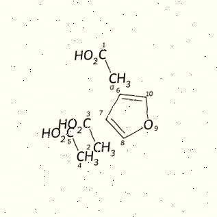 CC(=O)O.CC(=O)O.CC(=O)O.c1ccoc1